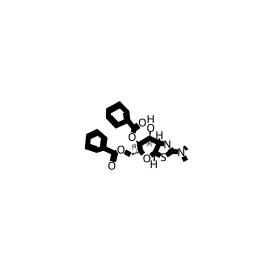 CN(C)C1=N[C@@H]2[C@@H](O)[C@@H](OC(=O)c3ccccc3)[C@@H](COC(=O)c3ccccc3)O[C@@H]2S1